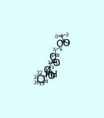 C=C(C)C(=O)OCCCOC(=O)CCO[PH](=O)c1ccccc1